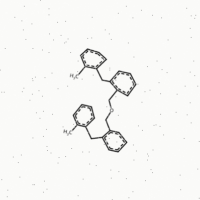 Cc1ccccc1Cc1ccccc1COCc1ccccc1Cc1ccccc1C